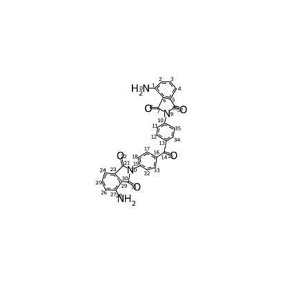 Nc1cccc2c1C(=O)N(c1ccc(C(=O)c3ccc(N4C(=O)c5cccc(N)c5C4=O)cc3)cc1)C2=O